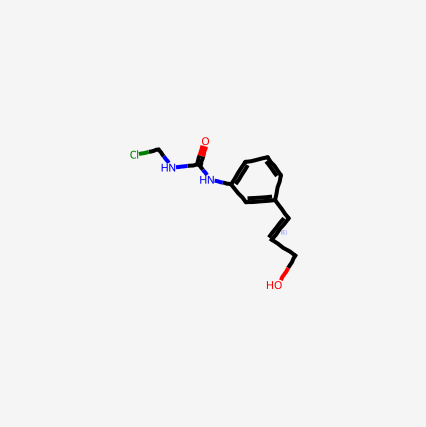 O=C(NCCl)Nc1cccc(/C=C/CO)c1